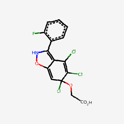 O=C(O)COC1(Cl)C=C2ONC(c3ccccc3F)=C2C(Cl)=C1Cl